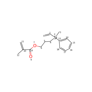 C=C[Si](C)(CCCOC(=O)C(=C)C)c1ccccc1